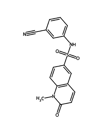 Cn1c(=O)ccc2cc(S(=O)(=O)Nc3cccc(C#N)c3)ccc21